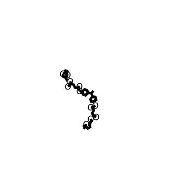 CC(c1ccc(OC(=O)CCC(=O)OCC2CCC(C)(C)O2)cc1)c1ccc(OC(=O)CCC(=O)OCC2COC(C)(C)O2)cc1